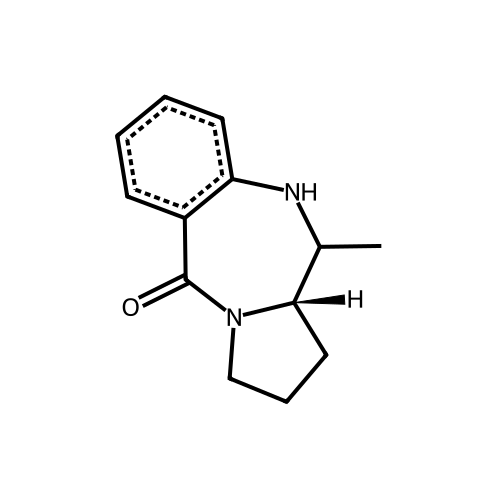 CC1Nc2ccccc2C(=O)N2CCC[C@@H]12